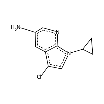 Nc1cnc2c(c1)c(Cl)cn2C1CC1